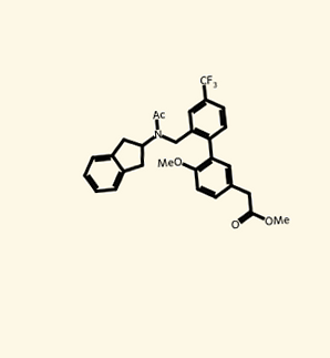 COC(=O)Cc1ccc(OC)c(-c2ccc(C(F)(F)F)cc2CN(C(C)=O)C2Cc3ccccc3C2)c1